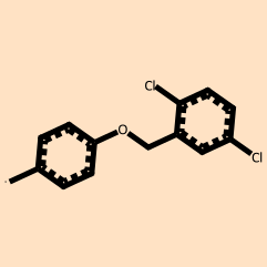 [CH2]c1ccc(OCc2cc(Cl)ccc2Cl)cc1